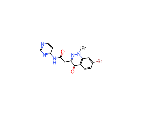 CC(C)n1nc(CC(=O)Nc2ccncn2)c(=O)c2ccc(Br)cc21